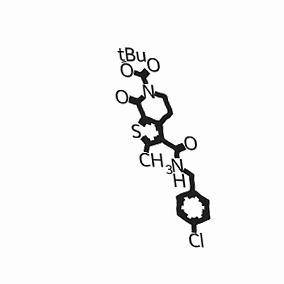 Cc1sc2c(c1C(=O)NCc1ccc(Cl)cc1)CCN(C(=O)OC(C)(C)C)C2=O